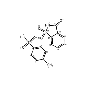 Cc1ccc(S(=O)(=O)O)cc1.O=C1NS(=O)(=O)c2ccccc21